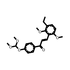 CCc1ccc(OC)c(C=CC(=O)c2ccc(OC(OC)OC)cc2)c1OC